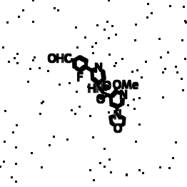 COc1ncc(N2CCOCC2)cc1S(=O)(=O)Nc1ccnc(-c2ccc(C=O)cc2F)c1